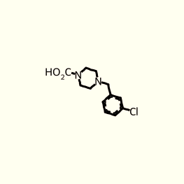 O=C(O)N1CCN(Cc2cccc(Cl)c2)CC1